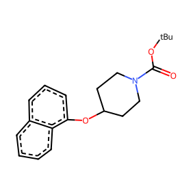 CC(C)(C)OC(=O)N1CCC(Oc2cccc3ccccc23)CC1